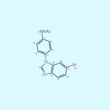 CC(=O)Nc1ccc(-n2cnc3ccc(Br)cc32)cc1